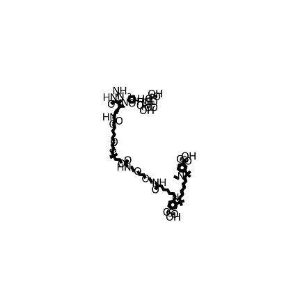 CCN1\C(=C/C=C/C=C/C2=[N+](CCCCCC(=O)NCCOCCOCCNC(=O)OCCC(C)(C)SSCOCCCCOC(=O)NC#Cc3cn(C4CC[C@@H](COP(=O)(O)OP(=O)(O)OP(=O)(O)O)O4)c4nc(N)[nH]c(=O)c34)c3ccc(S(=O)(=O)O)cc3C2(C)C)C(C)(C)c2cc(S(=O)(=O)O)ccc21